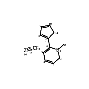 CB1CC=CC=C1C1=CC=CC1.[Cl-].[Cl-].[Zr+2]